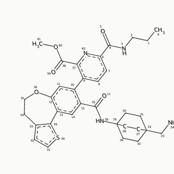 CCCNC(=O)c1ccc(-c2cc3c(cc2C(=O)NC24CCC(CN)(CC2)CC4)-c2sccc2CCO3)c(C(=O)OC)n1